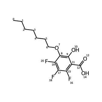 CCCCCCCOc1c(O)c(C(=O)O)c(F)c(F)c1F